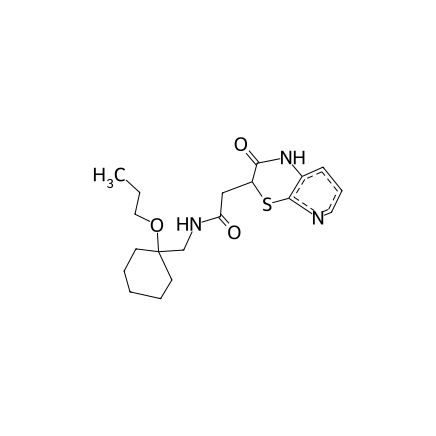 CCCOC1(CNC(=O)CC2Sc3ncccc3NC2=O)CCCCC1